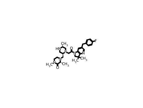 C[C@@H]1CN(CC(=O)N2CC(C)(C)c3ncc(Cc4ccc(F)cc4)cc32)[C@@H](CN2CCN(C)C(=O)[C@H]2C)CN1